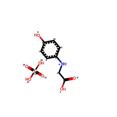 O=C(O)CNc1ccc(O)cc1.O=S(=O)(O)O